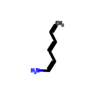 C=C/C=C/C=C\N